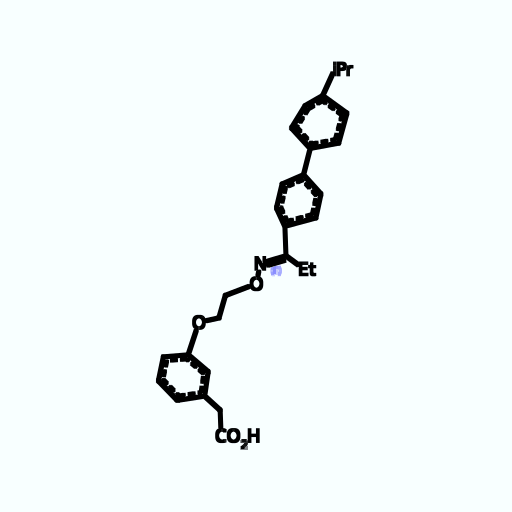 CC/C(=N\OCCOc1cccc(CC(=O)O)c1)c1ccc(-c2ccc(C(C)C)cc2)cc1